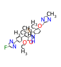 CCOC(=O)C(Cc1ccc(-c2ncc(F)cn2)cc1)c1[nH]c2ccc(OCc3cnc(C)cn3)c(C)c2c1SC(C)(C)C